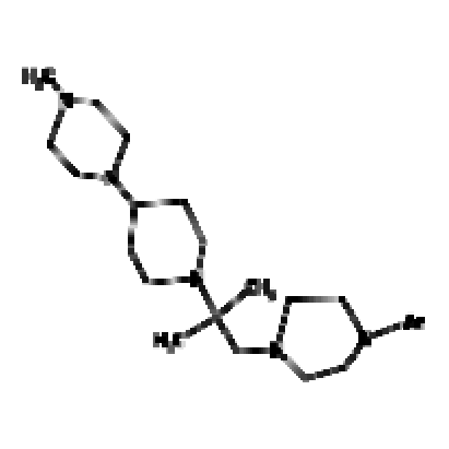 CC(=O)N1CCN(CC(C)(C)N2CCC(N3CCN(C)CC3)CC2)CC1